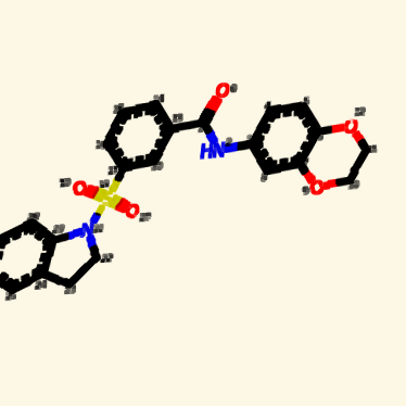 O=C(Nc1ccc2c(c1)OCCO2)c1cccc(S(=O)(=O)N2CCc3ccccc32)c1